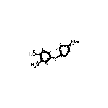 CNc1ccc(Sc2ccc(C)c(N)c2)cc1